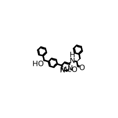 COC(=O)[C@H](Cc1ccccc1)Nc1cc(-c2ccc(C(O)c3ccccc3)cc2)ncn1